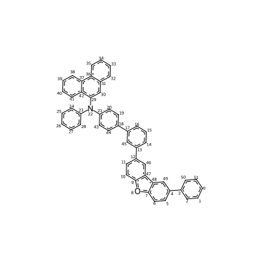 c1ccc(-c2ccc3oc4ccc(-c5cccc(-c6ccc(N(c7ccccc7)c7cc8ccccc8c8ccccc78)cc6)c5)cc4c3c2)cc1